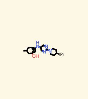 CC1CC2=C(Nc3cnc(N4CCC(C(C)C)CC4)nc3)CC(O)(C2)C1